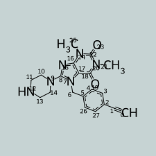 C#Cc1ccc(Cn2c(N3CCNCC3)nc3c2c(=O)n(C)c(=O)n3C)cc1